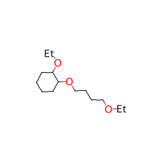 [CH2]COCCCCOC1CCCCC1OC[CH2]